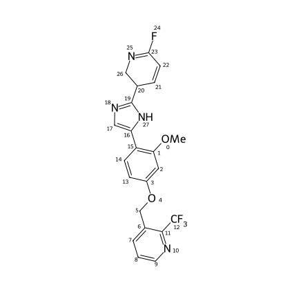 COc1cc(OCc2cccnc2C(F)(F)F)ccc1-c1cnc(C2C=CC(F)=NC2)[nH]1